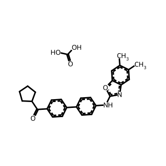 Cc1cc2nc(Nc3ccc(-c4ccc(C(=O)C5CCCC5)cc4)cc3)oc2cc1C.O=C(O)O